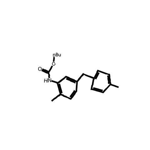 CCCCOC(=O)Nc1cc(Cc2ccc(C)cc2)ccc1C